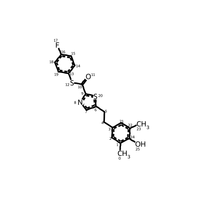 Cc1cc(CCc2cnc(C(=O)Sc3ccc(F)cc3)s2)cc(C)c1O